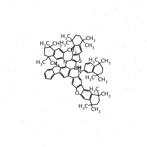 Cc1cc2c(cc1N1c3c(sc4cc5c(cc34)C(C)(C)CCC5(C)C)Bc3c(-c4cc5oc6cc7c(cc6c5cc4Nc4ccc5c(c4)C(C)(C)CCC5(C)C)C(C)(C)CCC7(C)C)cc4c(sc5ccccc54)c31)C(C)(C)CCC2(C)C